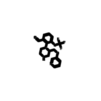 O=Cc1cccc(OC(F)(F)F)c1N1CCNCC1COc1cccnc1